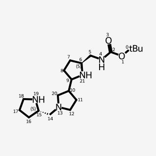 CC(C)(C)OC(=O)NC[C@@H]1CCC(C2CCN(C[C@@H]3CCCN3)C2)N1